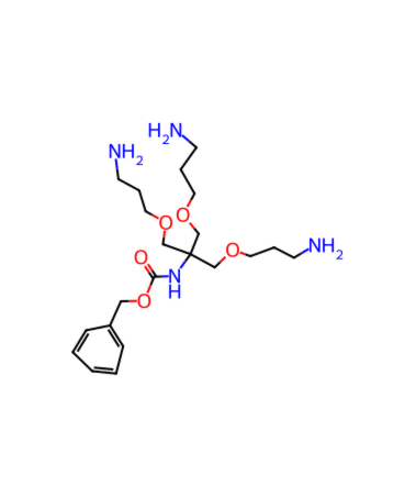 NCCCOCC(COCCCN)(COCCCN)NC(=O)OCc1ccccc1